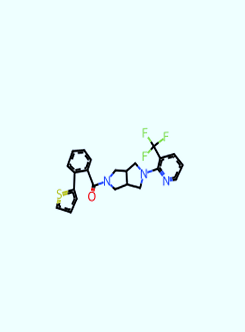 O=C(c1ccccc1-c1cccs1)N1CC2CN(c3ncccc3C(F)(F)F)CC2C1